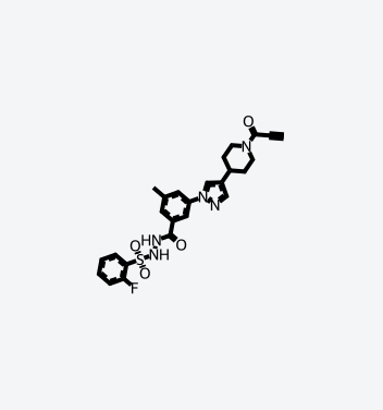 C#CC(=O)N1CCC(c2cnn(-c3cc(C)cc(C(=O)NNS(=O)(=O)c4ccccc4F)c3)c2)CC1